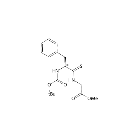 COC(=O)CNC(=S)[C@H](Cc1ccccc1)NC(=O)OC(C)(C)C